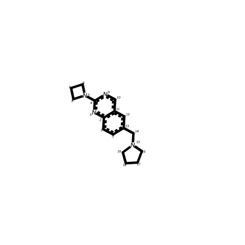 c1cc2nc(N3CCC3)ncc2cc1CN1CCCC1